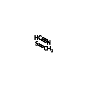 C#N.C=S